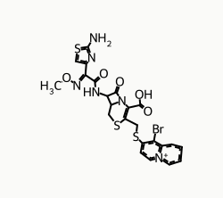 CON=C(C(=O)NC1C(=O)N2C(C(=O)O)=C(CSc3cc[n+]4ccccc4c3Br)SCC12)c1csc(N)n1